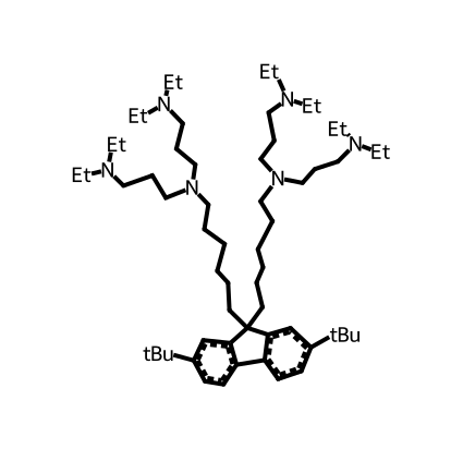 CCN(CC)CCCN(CCCCCCC1(CCCCCCN(CCCN(CC)CC)CCCN(CC)CC)c2cc(C(C)(C)C)ccc2-c2ccc(C(C)(C)C)cc21)CCCN(CC)CC